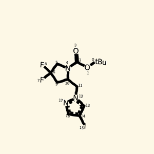 CC(C)(C)OC(=O)N1CC(F)(F)CC1Cn1cc(I)cn1